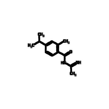 CC(=N)NC(=O)c1ccc(C(C)C)cc1C